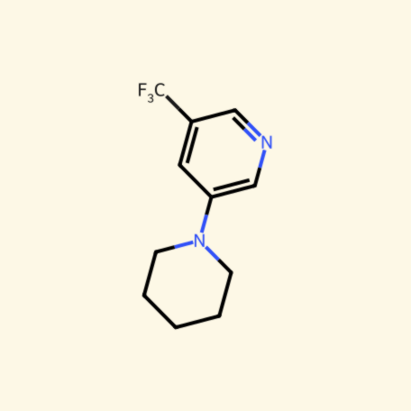 FC(F)(F)c1cncc(N2CCCCC2)c1